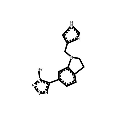 CC(C)n1nnnc1-c1ccc2c(c1)N(Cc1c[nH]cn1)CC2